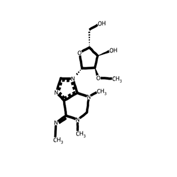 CN=C1c2ncn([C@@H]3O[C@H](CO)[C@@H](O)[C@H]3OC)c2N(C)CN1C